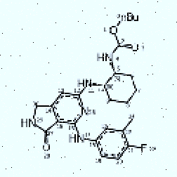 CCCCOC(=O)N[C@H]1CCCC[C@H]1Nc1cc2c(c(Nc3ccc(F)c(C)c3)n1)C(=O)NC2